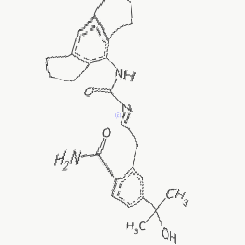 CC(C)(O)c1ccc(C(N)=O)c(C/C=N/C(=O)Nc2c3c(cc4c2CCC4)CCC3)c1